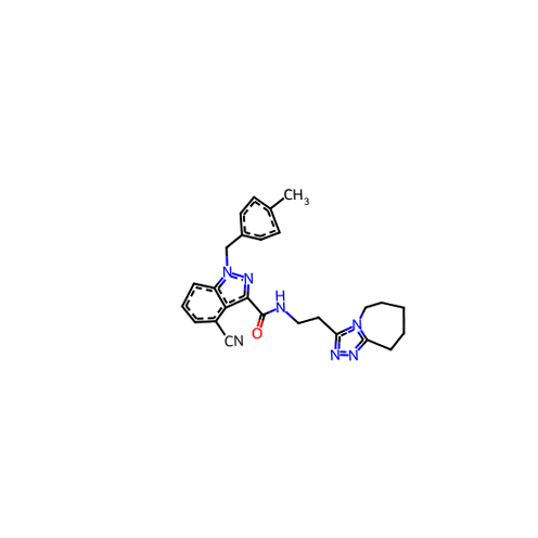 Cc1ccc(Cn2nc(C(=O)NCCc3nnc4n3CCCCC4)c3c(C#N)cccc32)cc1